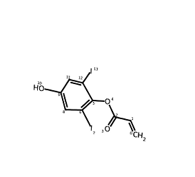 C=CC(=O)Oc1c(I)cc(O)cc1I